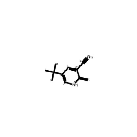 C=C1NC=C(C(C)(C)C)C=C1C#N